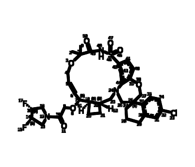 CC1(C)OCC=C[C@H](OCC(=O)N2C[C@@H](F)[C@H](F)C2)[C@@H]2CC[C@H]2CN2C[C@@]3(CCCc4cc(Cl)ccc43)COc3ccc(cc32)S(=O)(=O)NC1=O